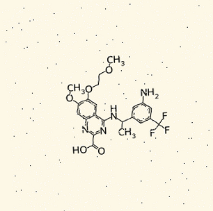 COCCOc1cc2c(NC(C)c3cc(N)cc(C(F)(F)F)c3)nc(C(=O)O)nc2cc1OC